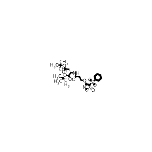 CC(C)(C)OC(=O)C[C@H](NC(=O)CCOc1no[n+]([O-])c1S(=O)(=O)c1ccccc1)C(=O)OC(C)(C)C